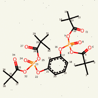 CC(C)(C)C(=O)OP(=O)(OC(=O)C(C)(C)C)Oc1cccc(OP(=O)(OC(=O)C(C)(C)C)OC(=O)C(C)(C)C)c1